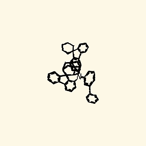 c1ccc(-c2cccc(N(c3ccc4c(c3)-c3ccccc3C43CCCCC3)c3cccc4c3C3(c5ccccc5-4)C4CC5CC(C4)CC3C5)c2)cc1